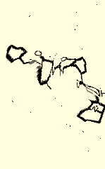 C[C@H]1CN(Cc2ccccc2)C(=O)[C@H](C)N1c1nc2c(C(=O)NC3CC4CCCC(C3)N4C)cccc2o1